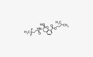 CC(C)CCOC(=O)c1cccc2c1OB(O)[C@@H](NC(=O)CCC(C)(F)F)C2